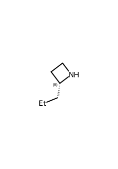 CCC[C@@H]1CCN1